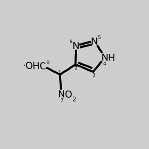 O=[C]C(c1c[nH]nn1)[N+](=O)[O-]